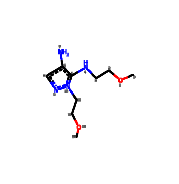 COCCNc1c(N)cnn1CCOC